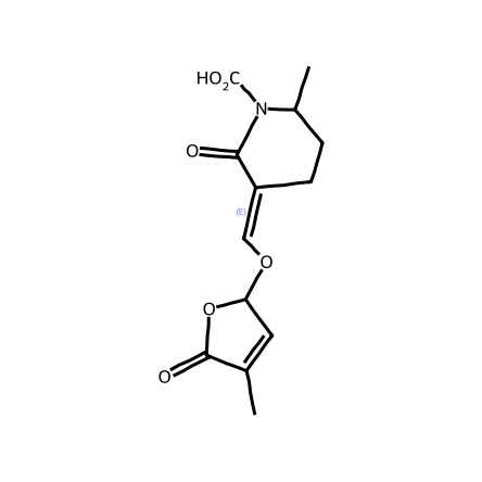 CC1=CC(O/C=C2\CCC(C)N(C(=O)O)C2=O)OC1=O